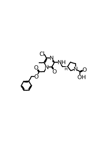 Cc1c(Cl)nc(NC[C@H]2CCN(C(=O)O)C2)c(=O)n1CC(=O)OCc1ccccc1